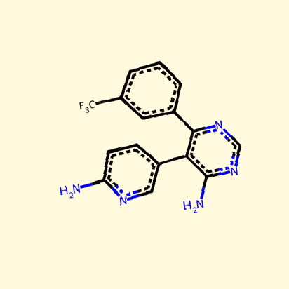 Nc1ccc(-c2c(N)ncnc2-c2cccc(C(F)(F)F)c2)cn1